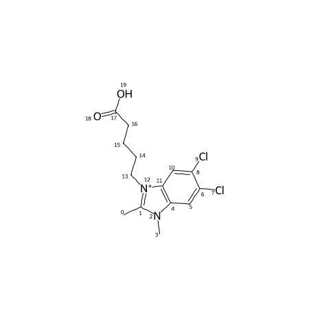 Cc1n(C)c2cc(Cl)c(Cl)cc2[n+]1CCCCC(=O)O